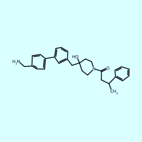 CC(CC(=O)N1CCC(O)(Cc2cccc(-c3ccc(CN)cc3)c2)CC1)c1ccccc1